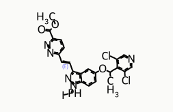 COC(=O)c1ccc(/C=C/c2nn(PI)c3ccc(OC(C)c4c(Cl)cncc4Cl)cc23)nn1